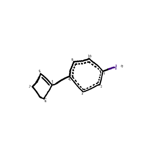 Ic1ccc(C2=CC[CH]2)cc1